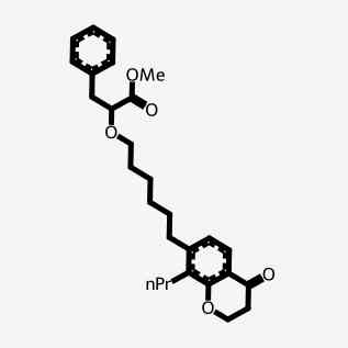 CCCc1c(CCCCCCOC(Cc2ccccc2)C(=O)OC)ccc2c1OCCC2=O